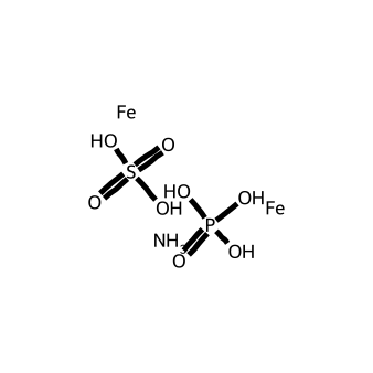 N.O=P(O)(O)O.O=S(=O)(O)O.[Fe].[Fe]